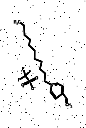 C=Cc1cc[n+](CCCCCCCCCCC)cc1.O=S(=O)([O-])C(F)(F)F